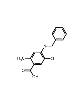 Cc1cc(NCc2ccccc2)c(Cl)cc1C(=O)O